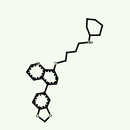 c1cnc2c(OCCCCNC3CCCCC3)ccc(-c3ccc4c(c3)OCO4)c2c1